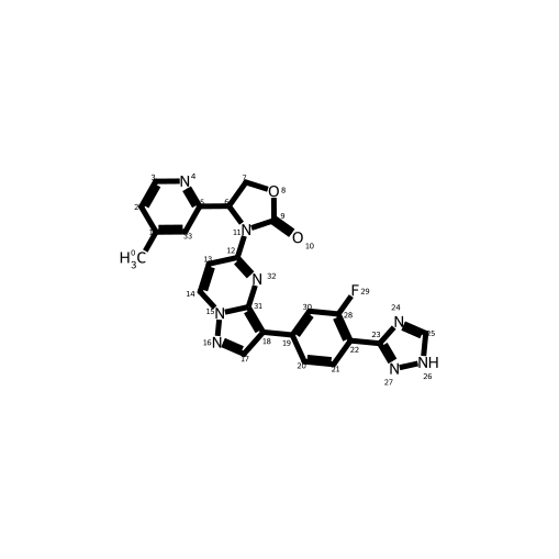 Cc1ccnc(C2COC(=O)N2c2ccn3ncc(-c4ccc(-c5nc[nH]n5)c(F)c4)c3n2)c1